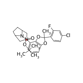 CC(C)(C)OC(=O)N1C2CCC1CN(c1cccc3c1OC(C)(c1ccc(Cl)cc1F)O3)C2